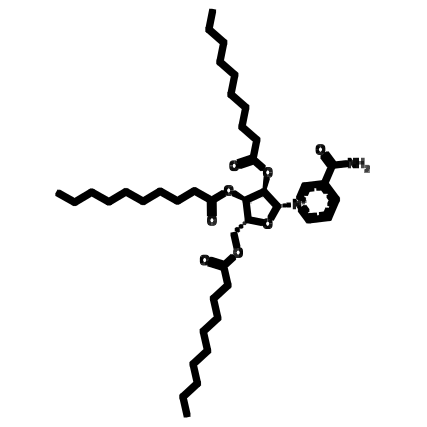 CCCCCCCCCC(=O)OC[C@H]1O[C@@H]([n+]2cccc(C(N)=O)c2)[C@H](OC(=O)CCCCCCCCC)[C@@H]1OC(=O)CCCCCCCCC